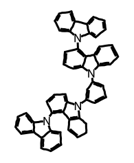 C1=Cc2c(n(-c3cccc(-n4c5ccccc5c5c(-n6c7ccccc7c7ccccc76)cccc54)c3)c3cccc(-n4c5ccccc5c5ccccc54)c23)CC1